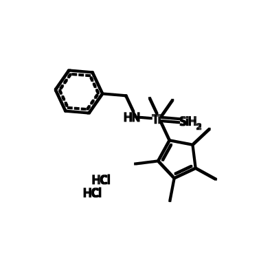 CC1=C(C)C(C)[C]([Ti]([CH3])([CH3])(=[SiH2])[NH]Cc2ccccc2)=C1C.Cl.Cl